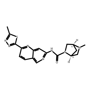 Cc1nnc(-c2ccc3cnc(NC(=O)N4C[C@@H]5C[C@H]4CN5C)cc3n2)s1